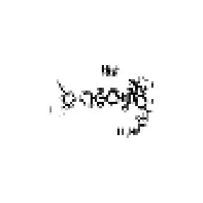 Cc1cc(C#N)nc(N2CCN(S(=O)(=O)c3ccc(NC(=O)c4cc(CN5CC(CN)C5)ccc4N(C)S(C)(=O)=O)cc3)CC2)n1.Cl.Cl